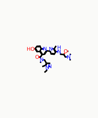 CCn1ncc(CN(C)C(=O)c2cc(-c3ccc(NCC(CN(C)C)OC)c(C)n3)nc3ccc(O)cc23)c1C